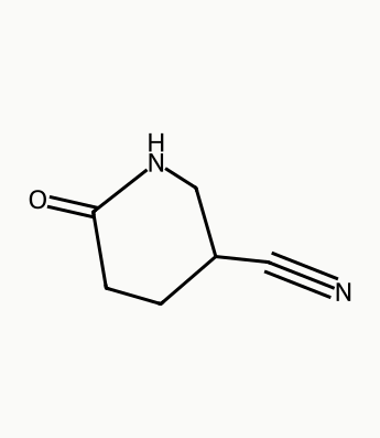 N#CC1CCC(=O)NC1